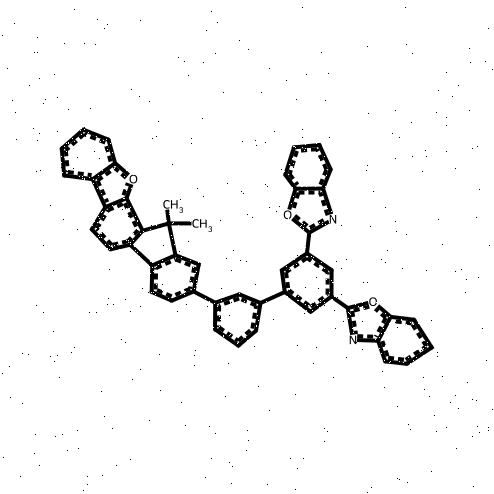 CC1(C)c2cc(-c3cccc(-c4cc(-c5nc6ccccc6o5)cc(-c5nc6ccccc6o5)c4)c3)ccc2-c2ccc3c(oc4ccccc43)c21